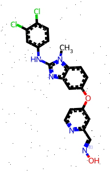 Cn1c(Nc2ccc(Cl)c(Cl)c2)nc2cc(Oc3ccnc(/C=N/O)c3)ccc21